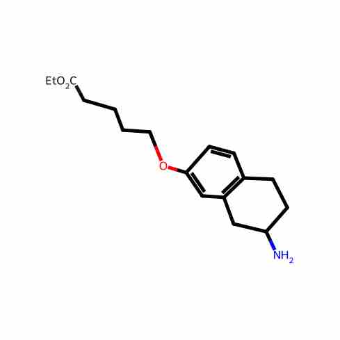 CCOC(=O)CCCCOc1ccc2c(c1)CC(N)CC2